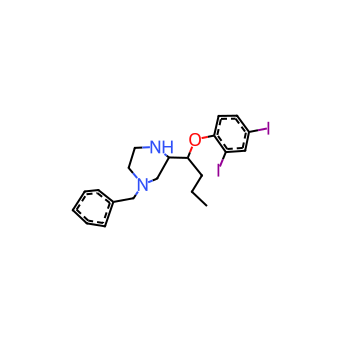 CCCC(Oc1ccc(I)cc1I)C1CN(Cc2ccccc2)CCN1